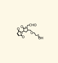 O=CCN1C(=O)C(N2C(=O)C=CC2=O)CC1COCCSO